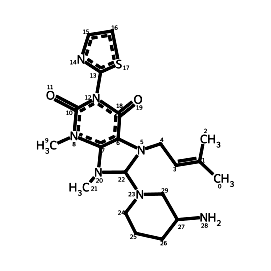 CC(C)=CCN1c2c(n(C)c(=O)n(-c3nccs3)c2=O)N(C)C1N1CCCC(N)C1